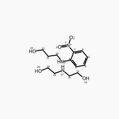 O=[N+]([O-])c1ccccc1NCCCO.OCCNCCO